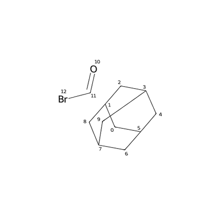 C1C2CC3CC1CC(C2)C3.O=CBr